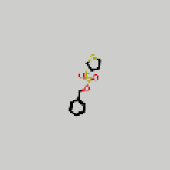 C1CCSC1.O=[SH](=O)OCc1ccccc1